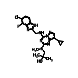 CN(CC(C)(C)O)c1nc(NCc2nc3c(F)c(Cl)ccc3[nH]2)n2ncc(C3CC3)c2n1